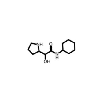 O=C(NC1CCCCC1)C(O)C1CCCN1